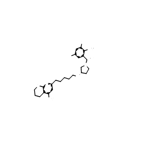 CCCc1cc(F)c(OC)c([C@H](C(=O)O)N2CC[C@@H](OCCCCCc3cc(OC)c4c(n3)NCCC4)C2)c1